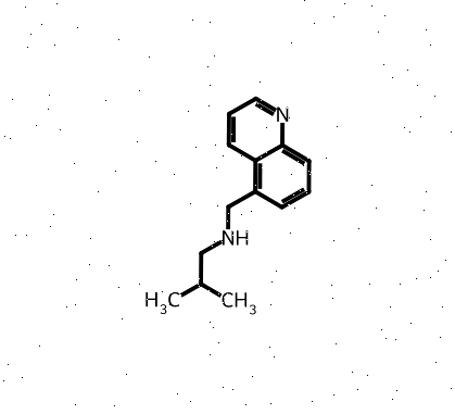 CC(C)CNCc1cccc2ncccc12